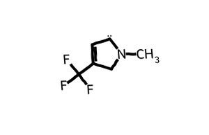 CN1[C]C=C(C(F)(F)F)C1